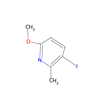 COc1ccc(I)c(C)n1